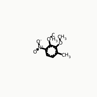 COc1c(C)ccc([N+](=O)[O-])c1OC